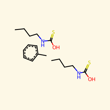 CCCCNC(O)=S.CCCCNC(O)=S.Cc1ccccc1